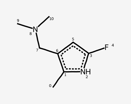 Cc1[nH]c(F)cc1CN(C)C